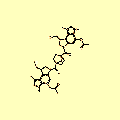 CC(=O)Oc1cc2c(c3c(C)c[nH]c13)C(CCl)CN2C(=O)C12CCC(C(=O)N3CC(CCl)c4c3cc(OC(C)=O)c3[nH]cc(C)c43)(CC1)C2